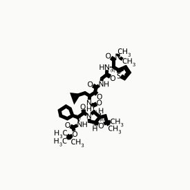 CN(C)C(=O)[C@@H](NC(=O)CNC(=O)C(=O)C(CC1CC1)NC(=O)[C@@H]1[C@H]2CC(C)(C)O[C@H]2CN1C(=O)[C@@H](NC(=O)OC(C)(C)C)C1CCCCC1)c1cccs1